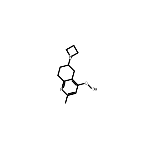 CCC(C)Oc1cc(C)nc2c1CC(N1CCC1)CC2